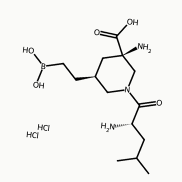 CC(C)C[C@H](N)C(=O)N1C[C@@H](CCB(O)O)C[C@](N)(C(=O)O)C1.Cl.Cl